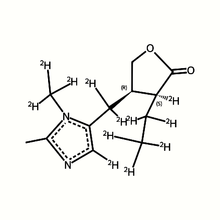 [2H]c1nc(C)n(C([2H])([2H])[2H])c1C([2H])([2H])[C@H]1COC(=O)[C@@]1([2H])C([2H])([2H])C([2H])([2H])[2H]